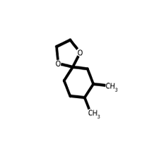 CC1CCC2(CC1C)OCCO2